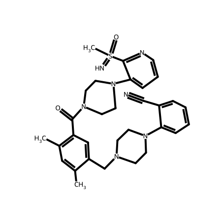 Cc1cc(C)c(C(=O)N2CCN(c3cccnc3S(C)(=N)=O)CC2)cc1CN1CCN(c2ccccc2C#N)CC1